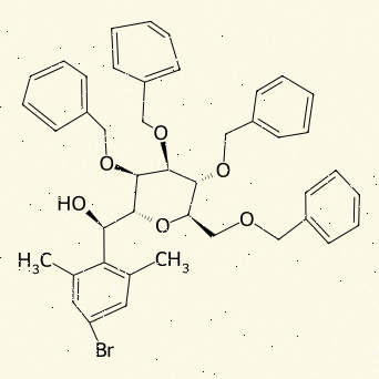 Cc1cc(Br)cc(C)c1[C@@H](O)[C@H]1O[C@H](COCc2ccccc2)[C@@H](OCc2ccccc2)[C@H](OCc2ccccc2)[C@@H]1OCc1ccccc1